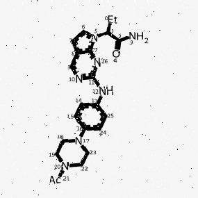 CCC(C(N)=O)n1ccc2cnc(Nc3ccc(N4CCN(C(C)=O)CC4)cc3)nc21